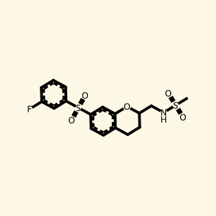 CS(=O)(=O)NCC1CCc2ccc(S(=O)(=O)c3cccc(F)c3)cc2O1